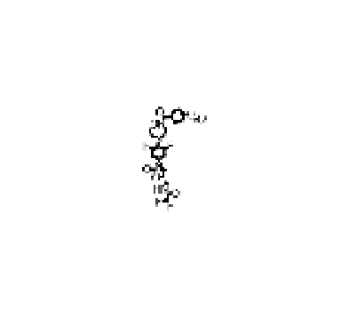 O=COc1ccc(C(=O)N2CCN(c3c(F)cc(N4C[C@H](CNC(=O)C(F)F)OC4=O)cc3F)CCO2)cc1